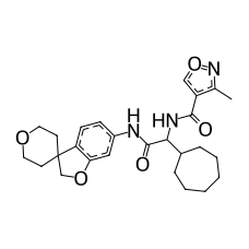 Cc1nocc1C(=O)NC(C(=O)Nc1ccc2c(c1)OCC21CCOCC1)C1CCCCCC1